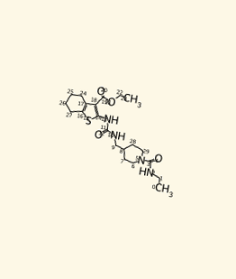 CCNC(=O)N1CCC(CNC(=O)Nc2sc3c(c2C(=O)OCC)CCCC3)CC1